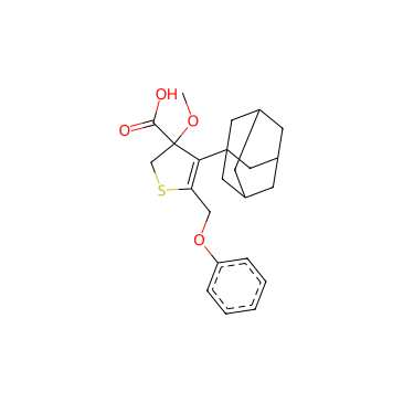 COC1(C(=O)O)CSC(COc2ccccc2)=C1C12CC3CC(CC(C3)C1)C2